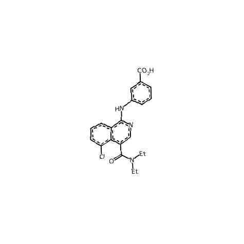 CCN(CC)C(=O)c1cnc(Nc2cccc(C(=O)O)c2)c2cccc(Cl)c12